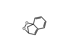 C1=CC2=CC3CC2(C=C1)OO3